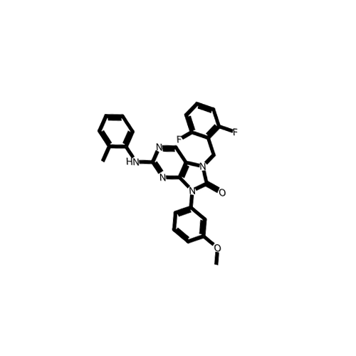 COc1cccc(-n2c(=O)n(Cc3c(F)cccc3F)c3cnc(Nc4ccccc4C)nc32)c1